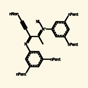 CCCCCCCCCC#CC(=Nc1cc(CCCCC)cc(CCCCC)c1)C(C)=[N+]([Ni])c1cc(CCCCC)cc(CCCCC)c1